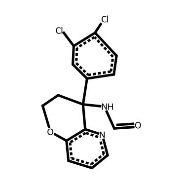 O=CNC1(c2ccc(Cl)c(Cl)c2)CCOc2cccnc21